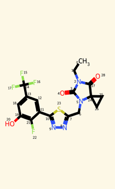 CCN1C(=O)N(Cc2nnc(-c3cc(C(F)(F)F)cc(O)c3F)s2)C2(CC2)C1=O